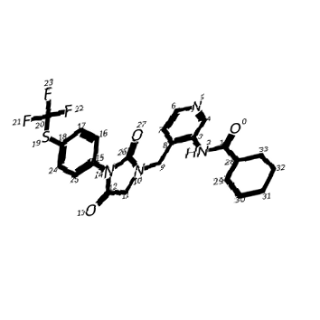 O=C(Nc1cnccc1CN1CC(=O)N(c2ccc(SC(F)(F)F)cc2)C1=O)C1CCCCC1